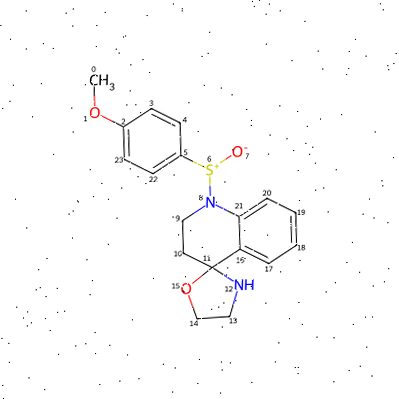 COc1ccc([S+]([O-])N2CCC3(NCCO3)c3ccccc32)cc1